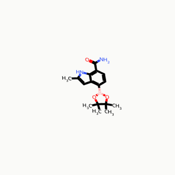 Cc1cc2c(B3OC(C)(C)C(C)(C)O3)ccc(C(N)=O)c2[nH]1